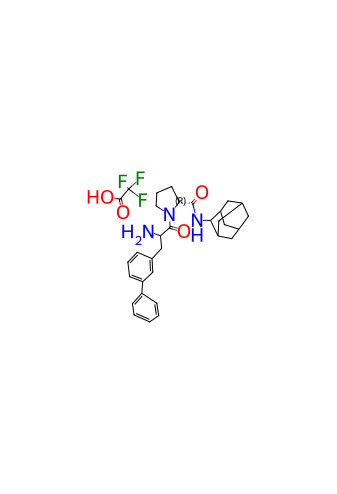 NC(Cc1cccc(-c2ccccc2)c1)C(=O)N1CCC[C@@H]1C(=O)NC1C2CC3CC(C2)CC1C3.O=C(O)C(F)(F)F